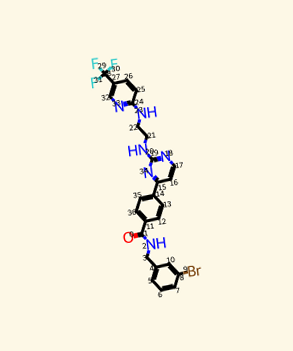 O=C(NCc1cccc(Br)c1)c1ccc(-c2ccnc(NCCNc3ccc(C(F)(F)F)cn3)n2)cc1